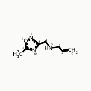 C=CCNCc1noc(C)n1